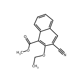 CCOc1c(C#N)cc2ccccc2c1C(=O)OC